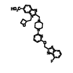 O=C(O)c1ccc2nc(CN3CCN(c4cccc(OCc5nc6c(F)cccc6s5)n4)CC3)n(CC3CCO3)c2c1